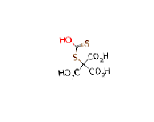 O=C(O)C(SC(O)=S)(C(=O)O)C(=O)O